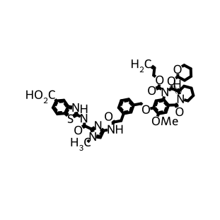 C=CCOC(=O)N1c2cc(OCc3cccc(CC(=O)Nc4cn(C)c(C(=O)Nc5nc6cc(C(=O)O)ccc6s5)n4)c3)c(OC)cc2C(=O)N2CCCC[C@H]2[C@@H]1OC1CCCCO1